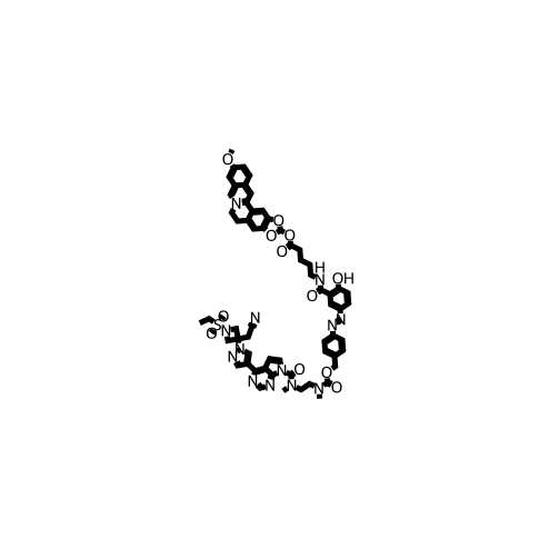 CCS(=O)(=O)N1CC(CC#N)(n2cc(-c3ncnc4c3ccn4C(=O)N(C)CCN(C)C(=O)OCc3ccc(N=Nc4ccc(O)c(C(=O)NCCCCC(=O)OC5Oc6cc7c(cc6O5)-c5cc6ccc(OC)cc6c[n+]5CC7)c4)cc3)cn2)C1